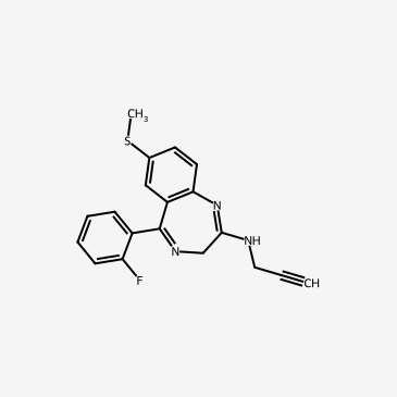 C#CCNC1=Nc2ccc(SC)cc2C(c2ccccc2F)=NC1